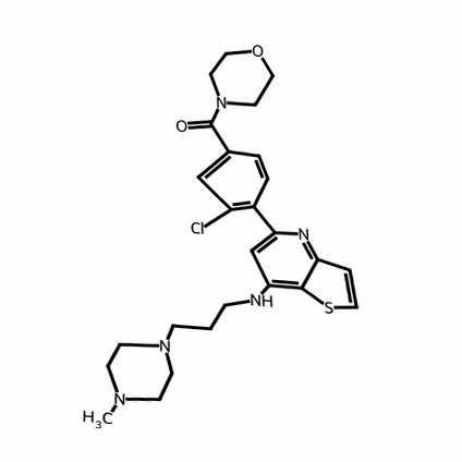 CN1CCN(CCCNc2cc(-c3ccc(C(=O)N4CCOCC4)cc3Cl)nc3ccsc23)CC1